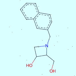 OCC1C(O)CN1Cc1ccc2ccccc2c1